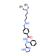 CC(C)CN(CCCCNCc1ccc(C(=O)NN(CC2=NCCN2)c2ccccc2)cc1)CC(C)C